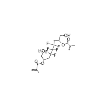 C=C(C)C(=O)OC(CO)CC(F)(F)C(F)(F)C(F)(F)CC(CO)OC(=O)C(=C)C